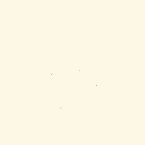 CCCc1cc(OC)c(-c2cccc3c2C(C)(C)C(=O)N3C)c(OC)c1